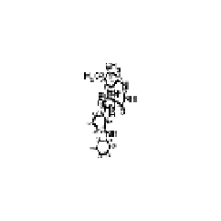 Cc1cc2nc3n(c2cc1C)C(NC(=O)c1cccc(NC2CCCCC2)n1)(C(F)(F)F)C(=O)N3